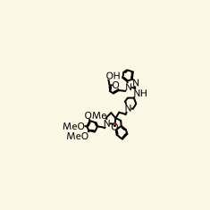 COc1cc(CN2CCC(CCN3CCC(Nc4nc5ccccc5n4Cc4ccc(CO)o4)CC3)(Cc3ccccc3)C2=O)cc(OC)c1OC